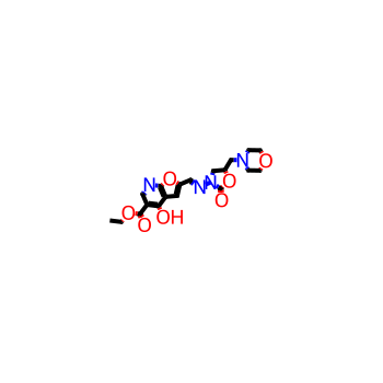 CCOC(=O)c1cnc2oc(C=NN3CC(CN4CCOCC4)OC3=O)cc2c1O